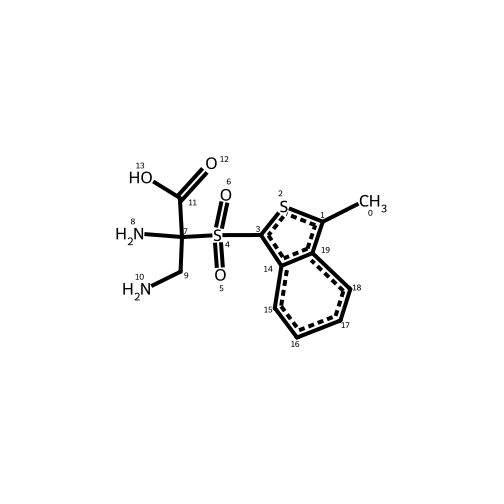 Cc1sc(S(=O)(=O)C(N)(CN)C(=O)O)c2ccccc12